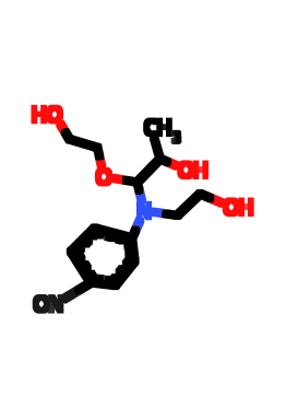 CC(O)C(OCCO)N(CCO)c1ccc(N=O)cc1